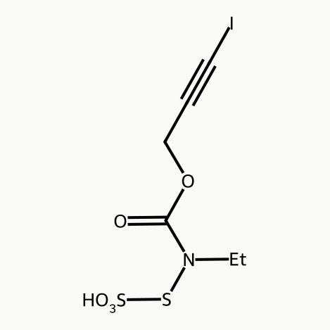 CCN(SS(=O)(=O)O)C(=O)OCC#CI